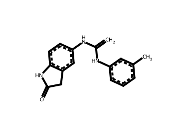 C=C(Nc1cccc(C)c1)Nc1ccc2c(c1)CC(=O)N2